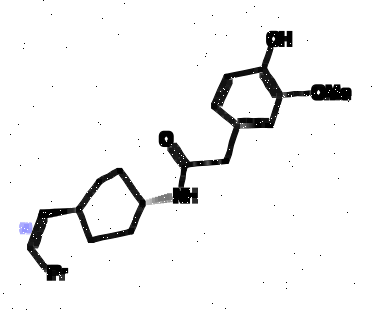 COc1cc(CC(=O)N[C@H]2CC[C@H](/C=C\C(C)C)CC2)ccc1O